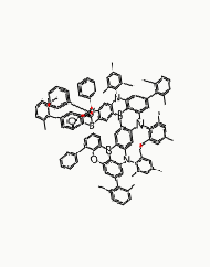 Cc1cc(C)c(N2c3cc4c(cc3B3c5cccc(-c6ccccc6)c5Oc5cc(-c6c(C)cccc6C)cc2c53)B2c3cc5c(cc3N(c3c(C)cc(C)cc3C)c3cc(-c6c(C)cccc6C)cc(c32)N4c2c(C)cc(C)cc2C)N(c2ccccc2)c2cc(-c3c(C)cccc3C)cc3c2B5c2cccc(-c4ccccc4)c2O3)c(C)c1